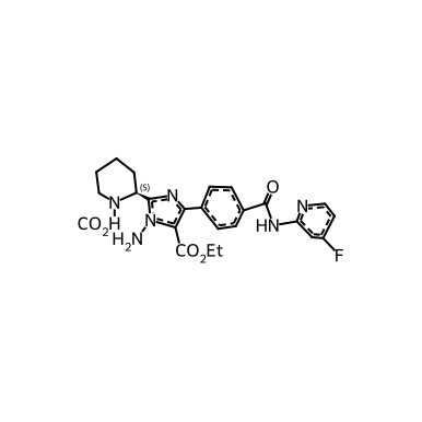 CCOC(=O)c1c(-c2ccc(C(=O)Nc3cc(F)ccn3)cc2)nc([C@@H]2CCCCN2C(=O)O)n1N